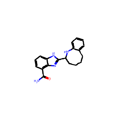 NC(=O)c1cccc2[nH]c(C3CCCCc4ccccc4N3)nc12